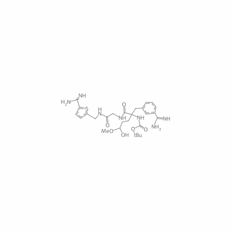 COC(O)CCC(Cc1cccc(C(=N)N)c1)(NC(=O)OC(C)(C)C)C(=O)NCC(=O)NCc1ccc(C(=N)N)s1